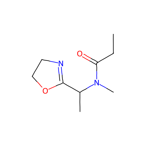 CCC(=O)N(C)C(C)C1=NCCO1